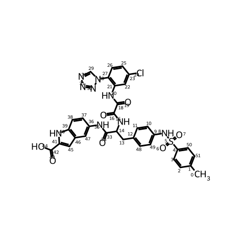 Cc1ccc(S(=O)(=O)Nc2ccc(CC(NC(=O)C(=O)Nc3cc(Cl)ccc3-n3cnnn3)C(=O)Nc3ccc4[nH]c(C(=O)O)cc4c3)cc2)cc1